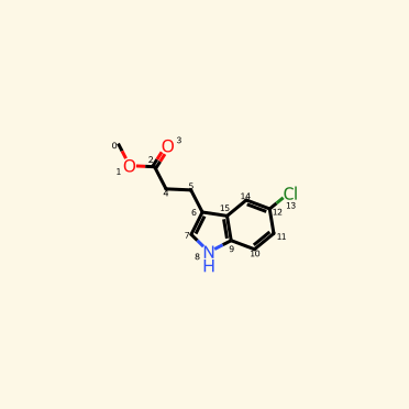 COC(=O)CCc1c[nH]c2ccc(Cl)cc12